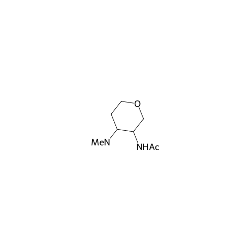 CNC1CCOCC1NC(C)=O